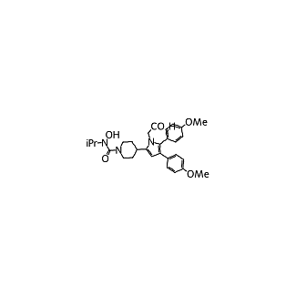 COc1ccc(-c2cc(C3CCN(C(=O)N(O)C(C)C)CC3)n(CC(=O)O)c2-c2ccc(OC)cc2)cc1